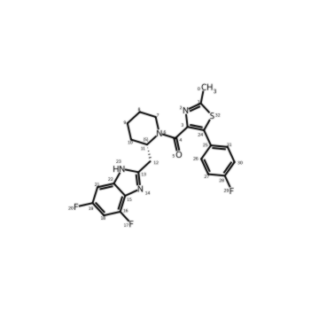 Cc1nc(C(=O)N2CCCC[C@H]2Cc2nc3c(F)cc(F)cc3[nH]2)c(-c2ccc(F)cc2)s1